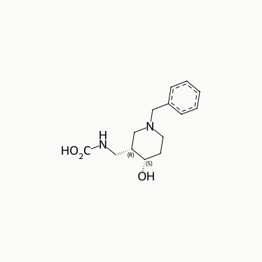 O=C(O)NC[C@@H]1CN(Cc2ccccc2)CC[C@@H]1O